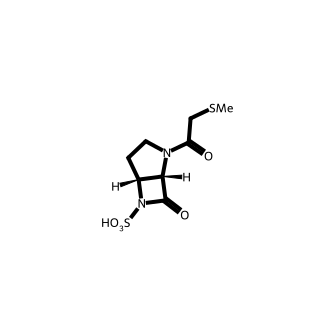 CSCC(=O)N1CC[C@@H]2[C@H]1C(=O)N2S(=O)(=O)O